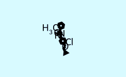 Cc1ccccc1-c1nc(-c2ccc(OCC3CC3)c(Cl)c2)no1